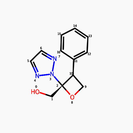 OC[C@]1(n2nccn2)OCC1c1ccccc1